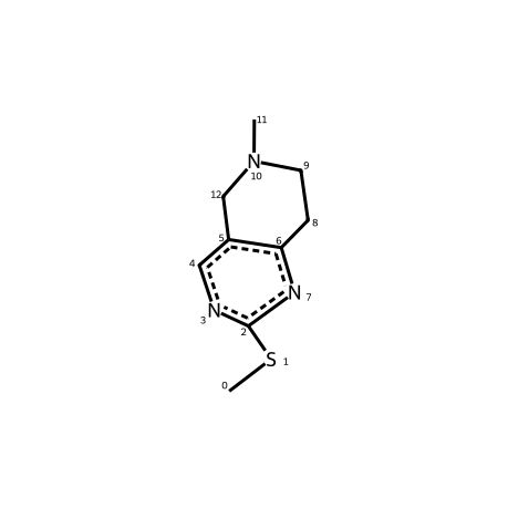 CSc1ncc2c(n1)CCN(C)C2